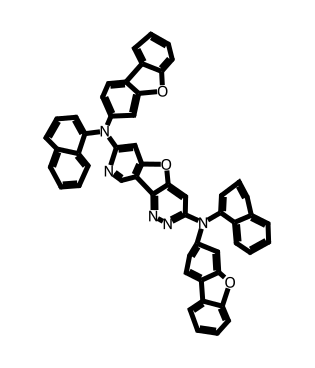 c1ccc2c(N(c3ccc4c(c3)oc3ccccc34)c3cc4oc5cc(N(c6ccc7c(c6)oc6ccccc67)c6cccc7ccccc67)nnc5c4cn3)cccc2c1